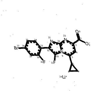 O=C([O-])c1cc(C2CC2)n2c(F)c(-c3ccc(Br)cc3F)nc2n1.[Li+]